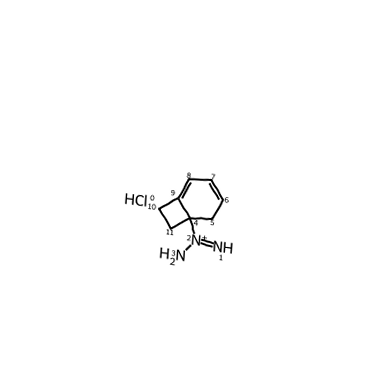 Cl.N=[N+](N)C12CC=CC=C1CC2